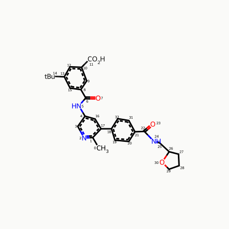 Cc1ncc(NC(=O)c2cc(C(=O)O)cc(C(C)(C)C)c2)cc1-c1ccc(C(=O)NCC2CCCO2)cc1